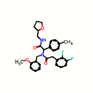 COc1ccccc1CN(C(=O)Cc1cccc(F)c1F)C(C(=O)NCC1CCCO1)c1ccc(C)cc1